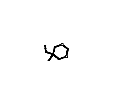 [CH2]C1(CC)COCOC1